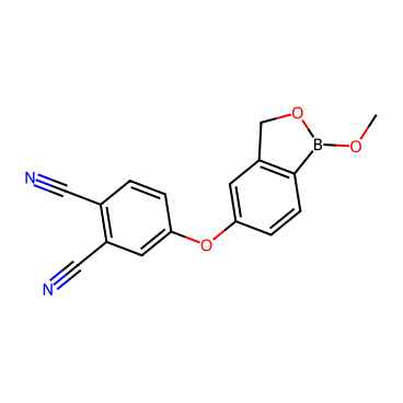 COB1OCc2cc(Oc3ccc(C#N)c(C#N)c3)ccc21